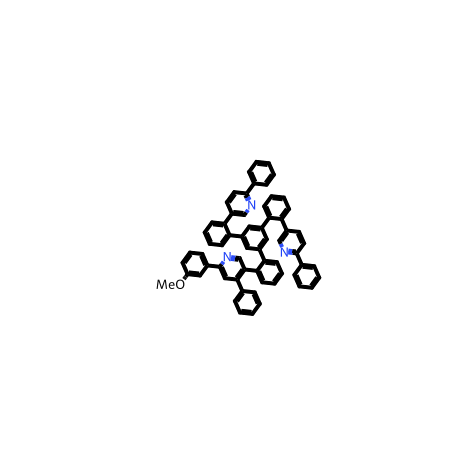 COc1cccc(-c2cc(-c3ccccc3)c(-c3ccccc3-c3cc(-c4ccccc4-c4ccc(-c5ccccc5)nc4)cc(-c4ccccc4-c4ccc(-c5ccccc5)nc4)c3)cn2)c1